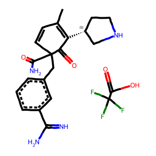 CC1=C([C@@H]2CCNC2)C(=O)C(Cc2cccc(C(=N)N)c2)(C(N)=O)C=C1.O=C(O)C(F)(F)F